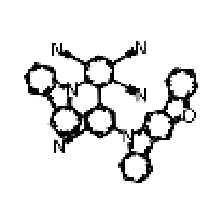 N#Cc1cc(-c2c(C#N)c(C#N)cc(C#N)c2-n2c3ccccc3c3ccccc32)cc(-n2c3ccccc3c3cc4oc5ccccc5c4cc32)c1